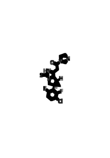 O=C(Cc1[nH]c(=S)n2c1[C@@H]1C[C@]1(c1c(F)ccc(Cl)c1F)C2)n1ccnc1